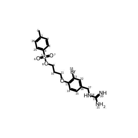 Cc1ccc(S(=O)(=O)OCCCOc2ccc(CNC(=N)N)cc2Br)cc1